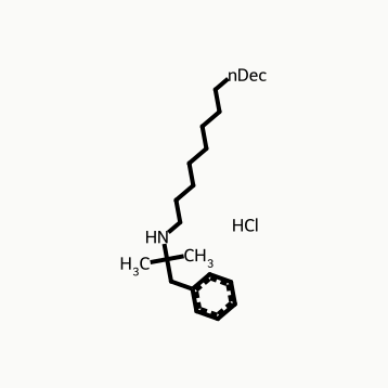 CCCCCCCCCCCCCCCCCCNC(C)(C)Cc1ccccc1.Cl